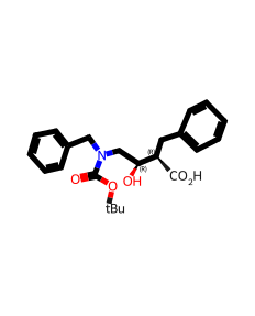 CC(C)(C)OC(=O)N(Cc1ccccc1)C[C@H](O)[C@@H](Cc1ccccc1)C(=O)O